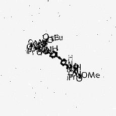 COC(=O)NC(C(=O)N1CCC[C@H]1c1ncc(-c2ccc(C#Cc3ccc(-c4cnc([C@@H]5CN(C(=O)OC(C)(C)C)CCN5C(=O)[C@@H](NC(=O)OC)C(C)C)[nH]4)cc3)cc2)[nH]1)C(C)C